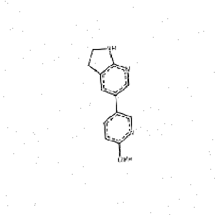 COc1ccc(-c2cnc3c(c2)CCN3)cn1